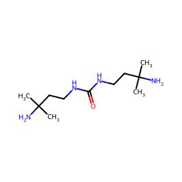 CC(C)(N)CCNC(=O)NCCC(C)(C)N